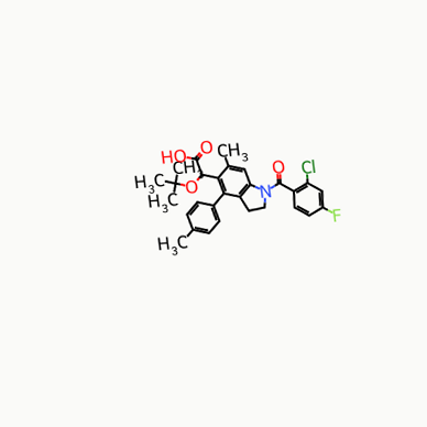 Cc1ccc(-c2c3c(cc(C)c2C(OC(C)(C)C)C(=O)O)N(C(=O)c2ccc(F)cc2Cl)CC3)cc1